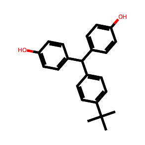 CC(C)(C)c1ccc(C(c2ccc(O)cc2)c2ccc(O)cc2)cc1